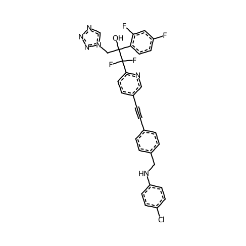 OC(Cn1cnnn1)(c1ccc(F)cc1F)C(F)(F)c1ccc(C#Cc2ccc(CNc3ccc(Cl)cc3)cc2)cn1